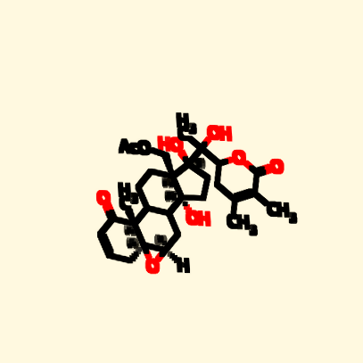 CC(=O)OC[C@]12CCC3C(C[C@H]4O[C@]45CC=CC(=O)[C@]35C)[C@]1(O)CC[C@@]2(O)C(C)(O)C1CC(C)=C(C)C(=O)O1